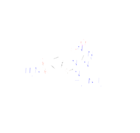 Cc1nc([N+](=O)[O-])c(N(Cc2ccc(S(N)(=O)=O)cc2)C(N)=S)n1CCN